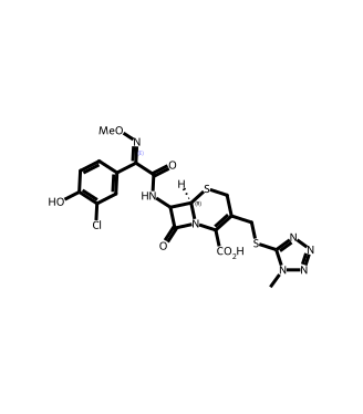 CO/N=C(/C(=O)NC1C(=O)N2C(C(=O)O)=C(CSc3nnnn3C)CS[C@H]12)c1ccc(O)c(Cl)c1